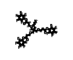 [N-]=[N+]=NCC(COCCC(=O)Oc1c(F)c(F)c(F)c(F)c1F)(COCCC(=O)Oc1c(F)c(F)c(F)c(F)c1F)COCCC(=O)Oc1c(F)c(F)c(F)c(F)c1F